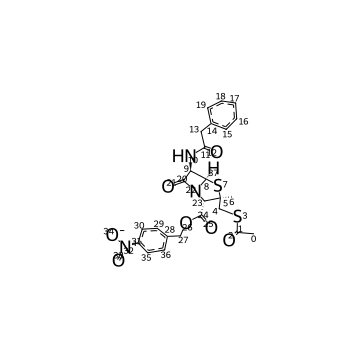 CC(=O)SC[C@]1(C)S[C@@H]2[C@H](NC(=O)Cc3ccccc3)C(=O)N2[C@H]1C(=O)OCc1ccc([N+](=O)[O-])cc1